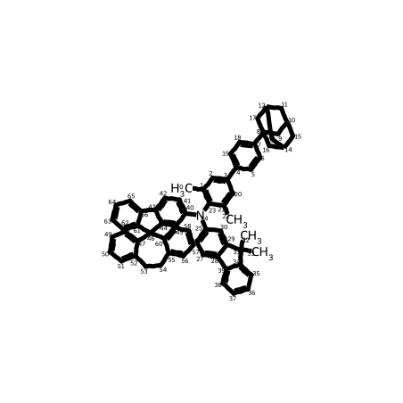 Cc1cc(-c2ccc(C34CC5CC(CC(C5)C3)C4)cc2)cc(C)c1N(c1ccc2c(c1)C(C)(C)c1ccccc1-2)c1ccc2c(c1)C1(c3ccccc3CCc3ccccc31)c1ccccc1-2